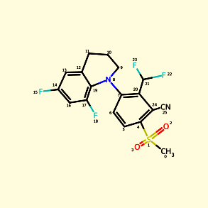 CS(=O)(=O)c1ccc(N2CCCc3cc(F)cc(F)c32)c(C(F)F)c1C#N